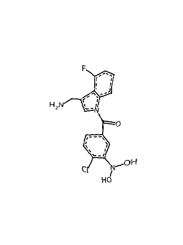 NCc1cn(C(=O)c2ccc(Cl)c(N(O)O)c2)c2cccc(F)c12